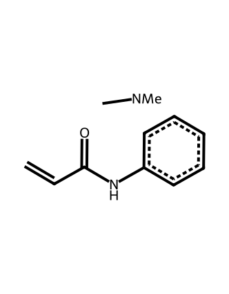 C=CC(=O)Nc1ccccc1.CNC